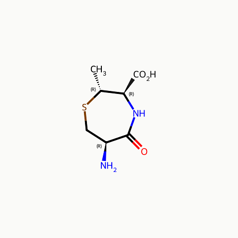 C[C@H]1SC[C@H](N)C(=O)N[C@@H]1C(=O)O